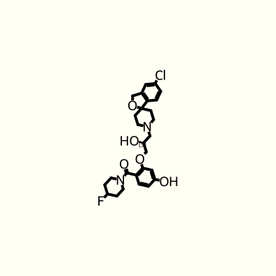 O=C(c1ccc(O)cc1OC[C@@H](O)CN1CCC2(CC1)OCc1cc(Cl)ccc12)N1CCC(F)CC1